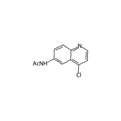 CC(=O)Nc1ccc2nccc(Cl)c2c1